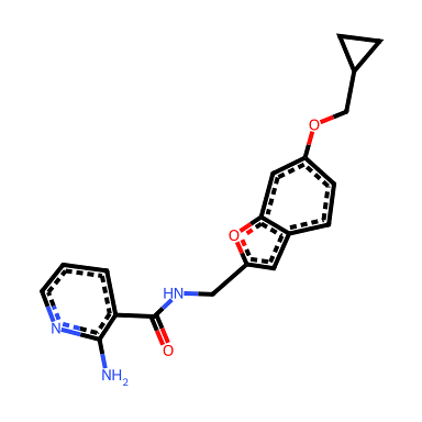 Nc1ncccc1C(=O)NCc1cc2ccc(OCC3CC3)cc2o1